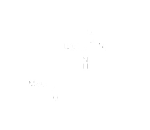 COC(=O)c1ccc(NCC2CCCCN2C(=O)OC(C)(C)C)cc1